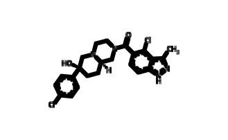 Cc1n[nH]c2ccc(C(=O)N3CCN4C[C@@](O)(c5ccc(Cl)cc5)CC[C@@H]4C3)c(Cl)c12